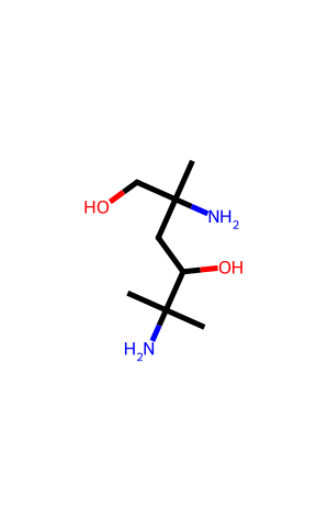 CC(N)(CO)CC(O)C(C)(C)N